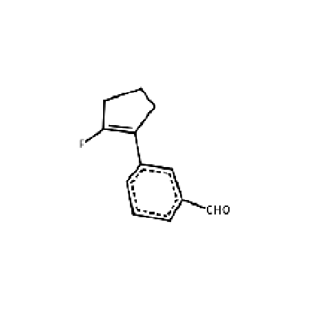 O=Cc1cccc(C2=C(F)CCC2)c1